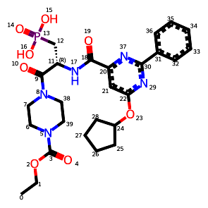 CCOC(=O)N1CCN(C(=O)[C@H](CP(=O)(O)O)NC(=O)c2cc(OC3CCCC3)nc(-c3ccccc3)n2)CC1